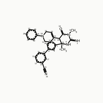 CN1C(=N)N[C@](C)(c2cc(-c3cccc(C#N)c3)cs2)C(C2=CCN(c3ccccc3)CC2)C1=O